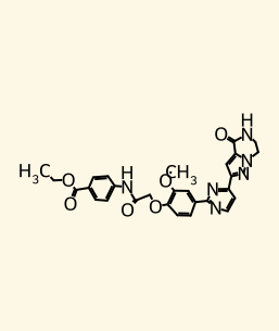 CCOC(=O)c1ccc(NC(=O)COc2ccc(-c3nccc(-c4cc5n(n4)CCNC5=O)n3)cc2OC)cc1